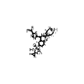 N#CC1(NS(=O)(=O)c2ccc3nc(N4C5CCC4CNC5)nc(-c4nnc(C(F)F)s4)c3c2)CC1